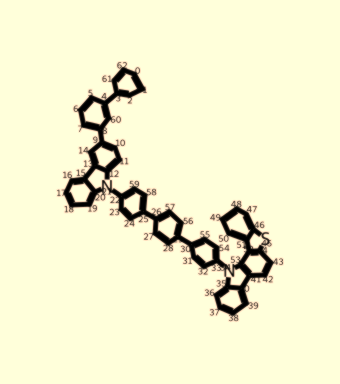 c1ccc(-c2cccc(-c3ccc4c(c3)c3ccccc3n4-c3ccc(-c4ccc(-c5ccc(-n6c7ccccc7c7ccc8sc9ccccc9c8c76)cc5)cc4)cc3)c2)cc1